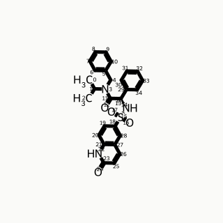 CC(C)N(Cc1ccccc1)C(=O)[C@H](NS(=O)(=O)c1ccc2[nH]c(=O)ccc2c1)c1ccccc1